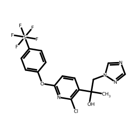 CC(O)(Cn1cncn1)c1ccc(Oc2ccc(S(F)(F)(F)(F)F)cc2)nc1Cl